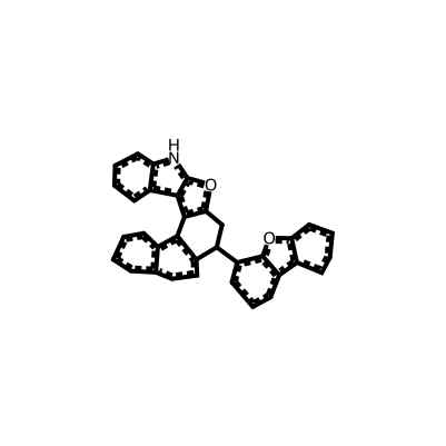 c1ccc2c3c(ccc2c1)C(c1cccc2c1oc1ccccc12)Cc1oc2[nH]c4ccccc4c2c1-3